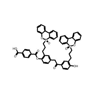 O=C(O)c1ccc(C(=O)Oc2ccc(CC(=O)c3ccc(O)c(CCCP4(=O)Oc5ccccc5-c5ccccc54)c3)cc2CCCP2(=O)Oc3ccccc3-c3ccccc32)cc1